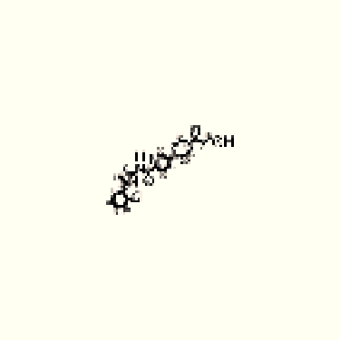 O=C(Nc1nc(-c2ccccc2Cl)cs1)c1ccc(N2CCN(C(=O)CCO)CC2)cn1